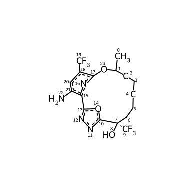 CC1CCCCC[C@](O)(C(F)(F)F)c2nnc(o2)-c2nc(c(C(F)(F)F)cc2N)O1